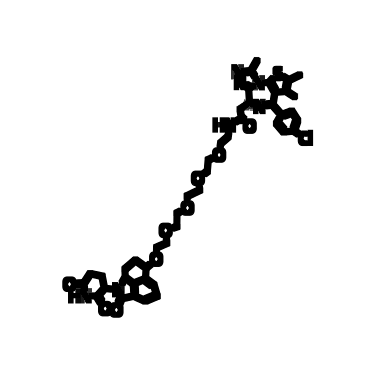 Cc1sc2c(c1C)C(c1ccc(Cl)cc1)=N[C@@H](CC(=O)NCCOCCOCCOCCOCCOC1CCC3c4c(cccc41)C(=O)N3C1CCC(=O)NC1=O)c1nnc(C)n1-2